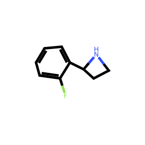 Fc1ccccc1C1CCN1